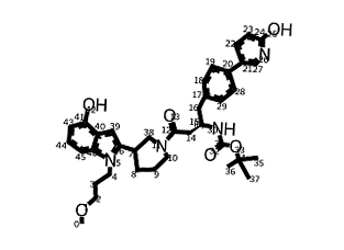 COCCCn1c(C2CCCN(C(=O)C[C@@H](Cc3ccc(-c4ccc(O)nc4)cc3)NC(=O)OC(C)(C)C)C2)cc2c(O)cccc21